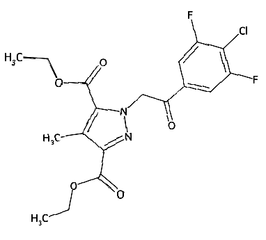 CCOC(=O)c1nn(CC(=O)c2cc(F)c(Cl)c(F)c2)c(C(=O)OCC)c1C